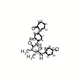 CC(C(=O)Nc1ccc(-n2ccccc2=O)cc1F)[C@@H](C)C(=O)Nc1ccc(Cl)cn1